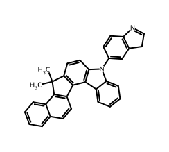 CC1(C)c2ccc3c(c2-c2ccc4ccccc4c21)c1ccccc1n3-c1ccc2c(c1)CC=N2